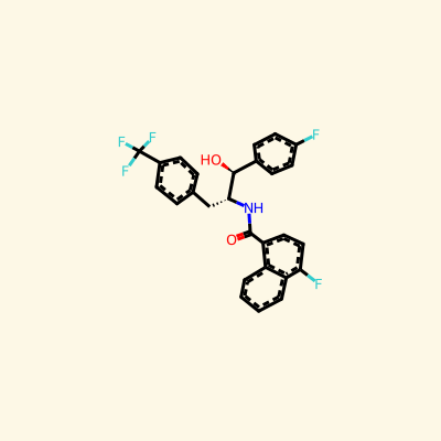 O=C(N[C@H](Cc1ccc(C(F)(F)F)cc1)[C@@H](O)c1ccc(F)cc1)c1ccc(F)c2ccccc12